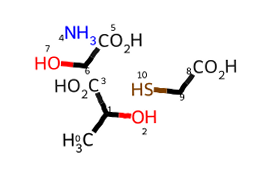 CC(O)C(=O)O.N.O=C(O)CO.O=C(O)CS